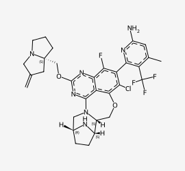 C=C1CN2CCC[C@@]2(COc2nc3c4c(c(Cl)c(-c5nc(N)cc(C)c5C(F)(F)F)c(F)c4n2)OC[C@@H]2[C@@H]4CC[C@H](CN32)N4)C1